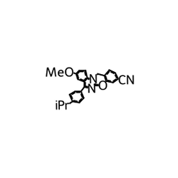 COc1ccc2c(c1)c(-c1ccc(C(C)C)cc1)nc(=O)n2Cc1ccc(C#N)cc1